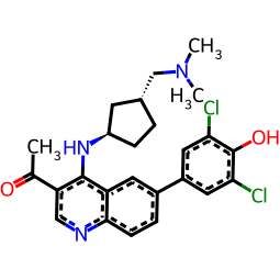 CC(=O)c1cnc2ccc(-c3cc(Cl)c(O)c(Cl)c3)cc2c1N[C@@H]1CC[C@@H](CN(C)C)C1